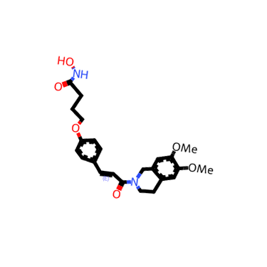 COc1cc2c(cc1OC)CN(C(=O)/C=C/c1ccc(OCCCC(=O)NO)cc1)CC2